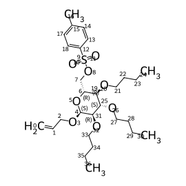 C=CCO[C@H]1O[C@H](COS(=O)(=O)c2ccc(C)cc2)[C@@H](OCCCC)[C@H](OCCCC)[C@H]1OCCCC